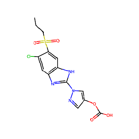 CCCS(=O)(=O)c1cc2[nH]c(-n3cc(OC(=O)O)cn3)nc2cc1Cl